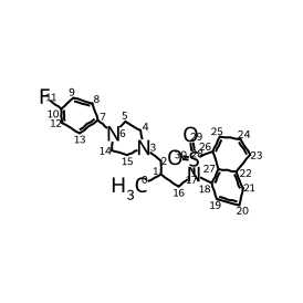 CC(CN1CCN(c2ccc(F)cc2)CC1)CN1c2cccc3cccc(c23)S1(=O)=O